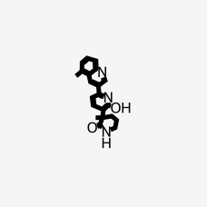 Cc1cccc2ncc(-c3ccc(C4(C)CCCNC4=O)c(O)n3)cc12